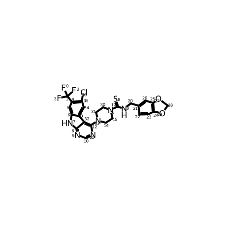 FC(F)(F)c1cc2[nH]c3ncnc(N4CCN(C(=S)NCc5ccc6c(c5)OCO6)CC4)c3c2cc1Cl